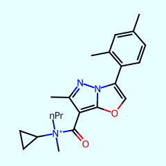 CCC[N+](C)(C(=O)c1c(C)nn2c(-c3ccc(C)cc3C)coc12)C1CC1